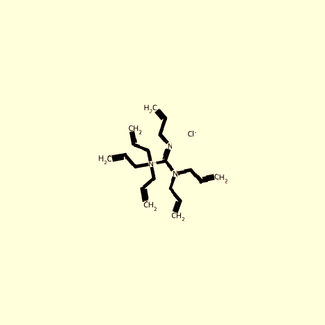 C=CCN=C(N(CC=C)CC=C)[N+](CC=C)(CC=C)CC=C.[Cl-]